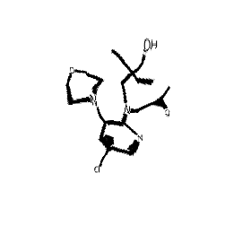 CC(=O)N(CC(C)(C)O)c1ncc(Cl)cc1N1CCOCC1